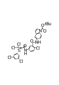 CC(C)(C)OC(=O)n1ccc2cc(NC(=O)c3cc(NC(=O)[C@H]4[C@H](c5cc(Cl)cc(Cl)c5)C4(Cl)Cl)ccc3Cl)ccc21